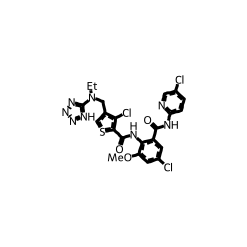 CCN(Cc1csc(C(=O)Nc2c(OC)cc(Cl)cc2C(=O)Nc2ccc(Cl)cn2)c1Cl)c1nnn[nH]1